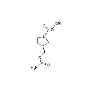 CC(C)(C)OC(=O)N1CC[C@H](COC(N)=O)C1